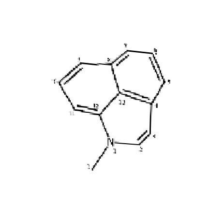 CN1C=Cc2c[c]cc3cccc1c23